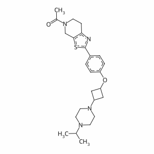 CC(=O)N1CCc2nc(-c3ccc(OC4CC(N5CCN(C(C)C)CC5)C4)cc3)sc2C1